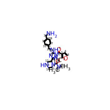 Cc1occc1C(=O)n1nc(C2CNCCN2C(=O)N(C)C)nc1NCc1ccc(CN)cc1